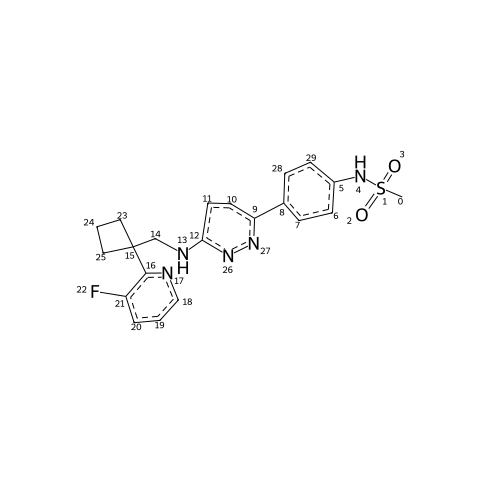 CS(=O)(=O)Nc1ccc(-c2ccc(NCC3(c4ncccc4F)CCC3)nn2)cc1